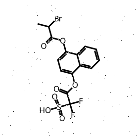 CC(Br)C(=O)Oc1ccc(OC(=O)C(F)(F)S(=O)(=O)O)c2ccccc12